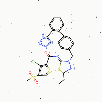 CCC1NN(Cc2ccc(-c3ccccc3-c3nnn[nH]3)cc2)C(=NC(=O)c2scc(S(C)(=O)=O)c2Cl)S1